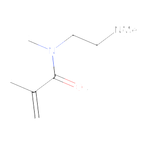 C=C(C)C(=O)N(C)CCNC